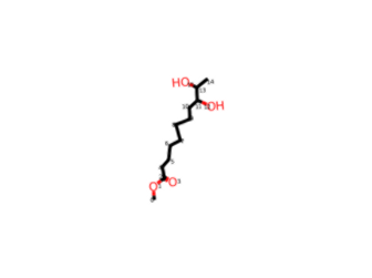 COC(=O)CCCCCCCC(O)C(C)O